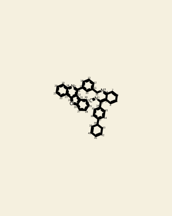 C=N/C(=C1/C=CC=C/C1=N/Cc1cccc(-c2nc3ccccc3c3oc4ccccc4c23)c1)c1ccc(C2C=CC=CC2)cc1